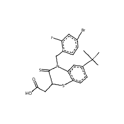 CC(C)(C)c1ccc2c(c1)N(Cc1ccc(Br)cc1F)C(=S)C(CC(=O)O)S2